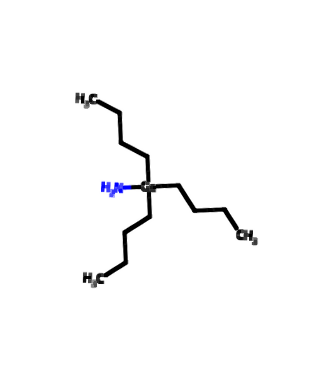 CCC[CH2][Ge]([NH2])([CH2]CCC)[CH2]CCC